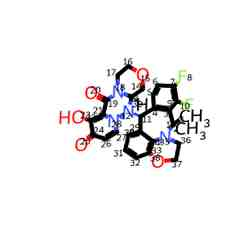 CC1(C)c2c(ccc(F)c2F)[C@H](N2[C@@H]3COCCN3C(=O)c3c(O)c(=O)ccn32)c2cccc3c2N1CCO3